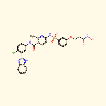 Cc1nc(NS(=O)(=O)c2cccc(OCCC(=O)NO)c2)ccc1C(=O)Nc1ccc(Cl)c(-c2nc3ccccc3[nH]2)c1